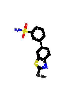 CC(=O)Nc1nc2ccc(-c3cccc(S(N)(=O)=O)c3)cc2s1